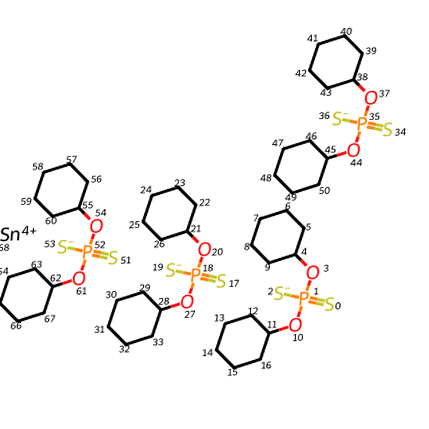 S=P([S-])(OC1CCCCC1)OC1CCCCC1.S=P([S-])(OC1CCCCC1)OC1CCCCC1.S=P([S-])(OC1CCCCC1)OC1CCCCC1.S=P([S-])(OC1CCCCC1)OC1CCCCC1.[Sn+4]